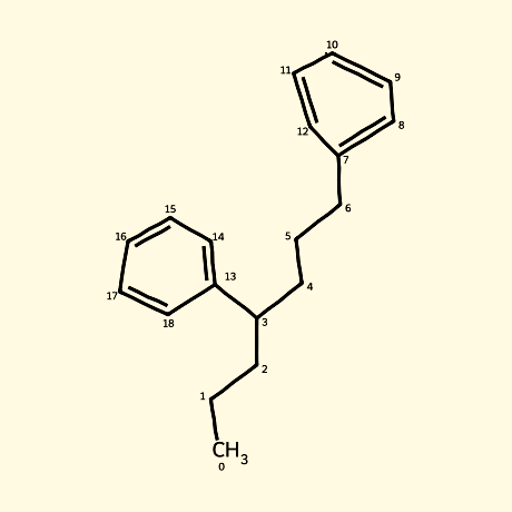 CCCC(CCCc1cc[c]cc1)c1ccccc1